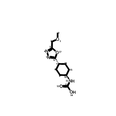 COCc1nnc([C@H]2CC[C@H](NC(=O)O)CC2)o1